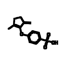 C=C1CCC(C)=C1Oc1ccc(S(=O)(=O)O)cc1